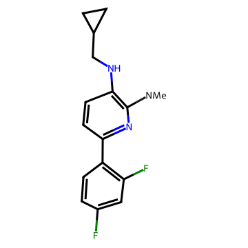 CNc1nc(-c2ccc(F)cc2F)ccc1NCC1CC1